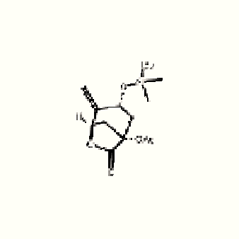 C=C1[C@H]2C[C@@](OC(C)=O)(C[C@H]1O[Si](C)(C)C(C)(C)C)C(=O)O2